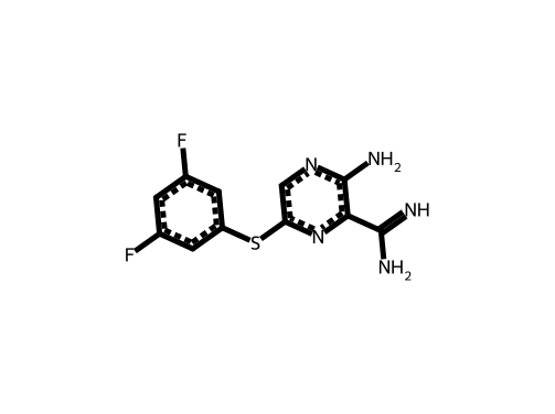 N=C(N)c1nc(Sc2cc(F)cc(F)c2)cnc1N